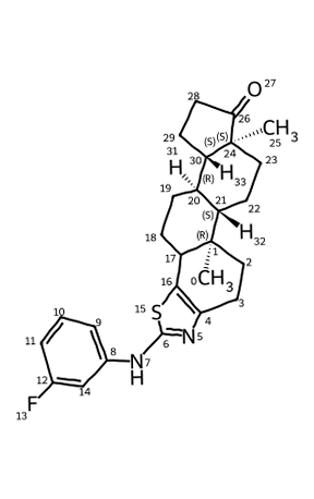 C[C@]12CCc3nc(Nc4cccc(F)c4)sc3C1CC[C@@H]1[C@@H]2CC[C@]2(C)C(=O)CC[C@@H]12